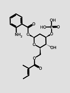 C/C=C(\C)C(=O)OC[C@H]1O[C@@H](OC(=O)c2ccccc2N)C[C@@H](OP(=O)(O)O)[C@@H]1O